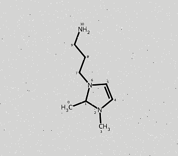 CC1N(C)C=CN1CCCN